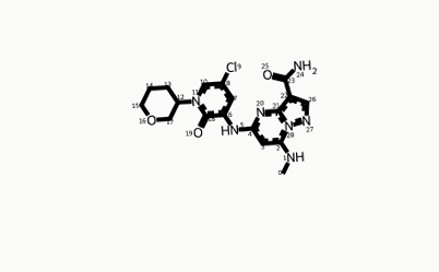 CNc1cc(Nc2cc(Cl)cn(C3CCCOC3)c2=O)nc2c(C(N)=O)cnn12